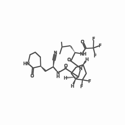 CC(C)C[C@H](NC(=O)C(F)(F)F)C(=O)N1[C@@H]2CC[C@H]([C@H]1C(=O)N[C@H](C#N)C[C@@H]1CCCNC1=O)C(F)(F)C2